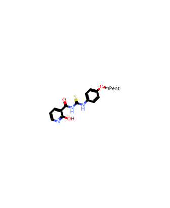 CCCCCOc1ccc(NC(=S)NC(=O)c2cccnc2O)cc1